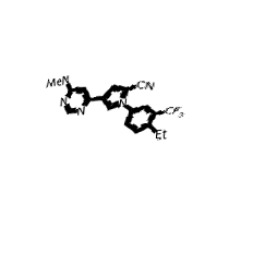 CCc1ccc(-n2cc(-c3cc(NC)ncn3)cc2C#N)cc1C(F)(F)F